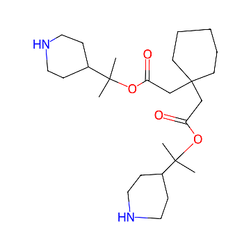 CC(C)(OC(=O)CC1(CC(=O)OC(C)(C)C2CCNCC2)CCCCC1)C1CCNCC1